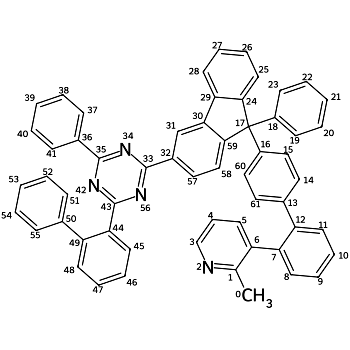 Cc1ncccc1-c1ccccc1-c1ccc(C2(c3ccccc3)c3ccccc3-c3cc(-c4nc(-c5ccccc5)nc(-c5ccccc5-c5ccccc5)n4)ccc32)cc1